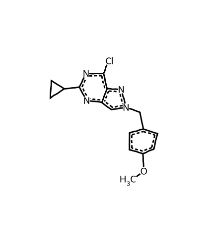 COc1ccc(Cn2cc3nc(C4CC4)nc(Cl)c3n2)cc1